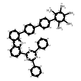 Bc1c(B)c(B)c(-c2ccc(-c3ccc(-c4cccc5c4oc4c(-c6nc(-c7ccccc7)nc(-c7ccccc7)n6)cccc45)cc3)cc2)c(B)c1B